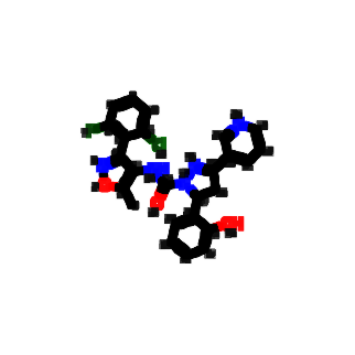 Cc1onc(-c2c(F)cccc2Cl)c1NC(=O)N1N=C(c2cccnc2)CC1c1ccccc1O